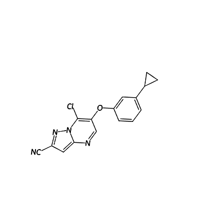 N#Cc1cc2ncc(Oc3cccc(C4CC4)c3)c(Cl)n2n1